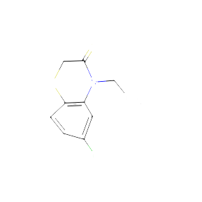 CCOC(=O)CN1C(=S)CSc2ccc(Cl)cc21